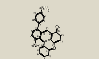 Nc1ccc(-c2ccc(N)c(=CC3=CC=CCC3=O)c2=CC2=CC=CCC2=O)cc1